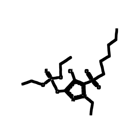 CCCCCCS(=O)(=O)c1c(Cl)c(OP(=S)(OCC)OCC)nn1CC